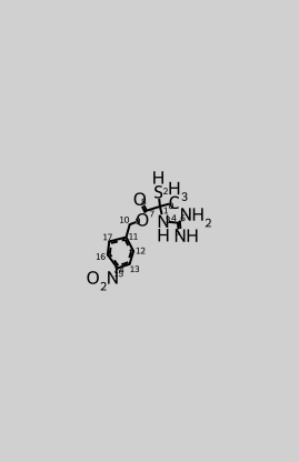 CC(S)(NC(=N)N)C(=O)OCc1ccc([N+](=O)[O-])cc1